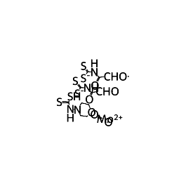 O=[C]C(=O)NC(=S)[S-].O=[C]C(=O)NC(=S)[S-].S=C(S)NN1CCOCC1.[O]=[Mo+2]=[O]